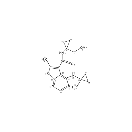 COCC1(NC(=O)c2c(C)oc3ncnc(NC4(C)CC4)c23)CC1